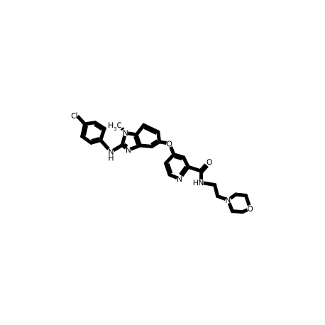 Cn1c(Nc2ccc(Cl)cc2)nc2cc(Oc3ccnc(C(=O)NCCN4CCOCC4)c3)ccc21